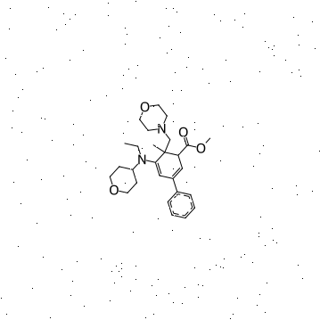 CCN(C1=CC(c2ccccc2)=CC(C(=O)OC)C1(C)CN1CCOCC1)C1CCOCC1